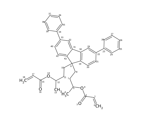 C=CC(=O)OC(C)CCC1(CCC(C)OC(=O)C=C)c2ccc(-c3ccccc3)cc2-c2cc(-c3ccccc3)ccc21